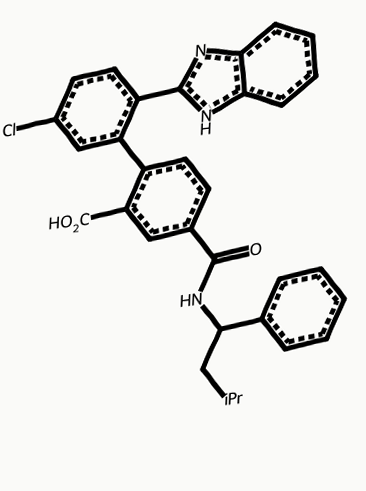 CC(C)CC(NC(=O)c1ccc(-c2cc(Cl)ccc2-c2nc3ccccc3[nH]2)c(C(=O)O)c1)c1ccccc1